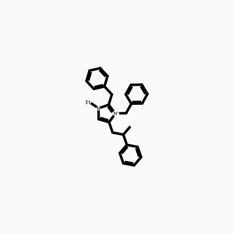 CCn1cc(CC(C)c2ccccc2)[n+](Cc2ccccc2)c1Cc1ccccc1